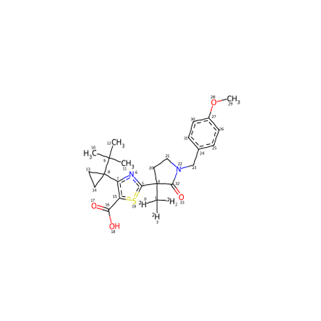 [2H]C([2H])([2H])C1(c2nc(C3(C(C)(C)C)CC3)c(C(=O)O)s2)CCN(Cc2ccc(OC)cc2)C1=O